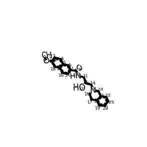 COc1ccc2cc(C(=O)NCC(O)CN3CCc4ccccc4C3)ccc2c1